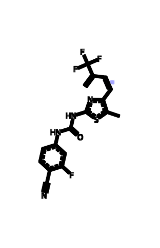 C=C(/C=C\c1nc(NC(=O)Nc2ccc(C#N)c(F)c2)sc1C)C(F)(F)F